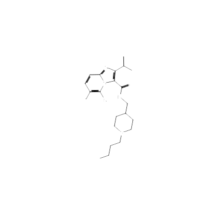 CCCCN1CCC(CNC(=O)c2c(C(C)C)nc3ccc(Cl)c(N)n23)CC1